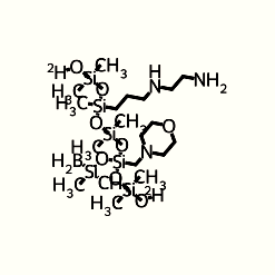 [2H]O[Si](C)(C)O[Si](C)(CCCNCCN)O[Si](C)(C)O[Si](CN1CCOCC1)(O[Si](B)(C)C)O[Si](C)(C)O[2H]